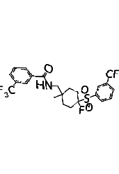 CC1(CNC(=O)c2cccc(C(F)(F)F)c2)CCC(F)(S(=O)(=O)c2cccc(C(F)(F)F)c2)CC1